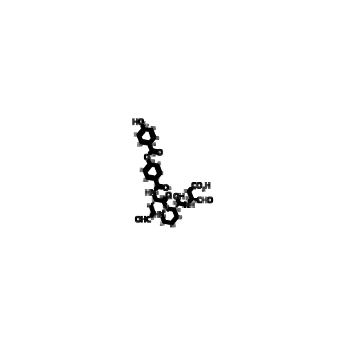 O=CCC[C@H](NC(=O)c1ccc(OC(=O)c2ccc(O)cc2)cc1)C(=O)N1NCCC[C@H]1C(O)N[C@H](C=O)CC(=O)O